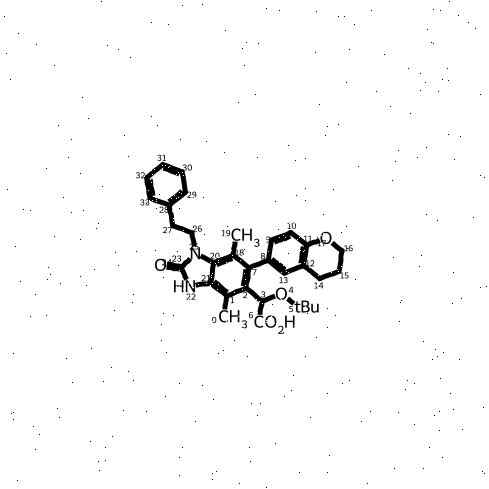 Cc1c(C(OC(C)(C)C)C(=O)O)c(-c2ccc3c(c2)CCCO3)c(C)c2c1[nH]c(=O)n2CCc1ccccc1